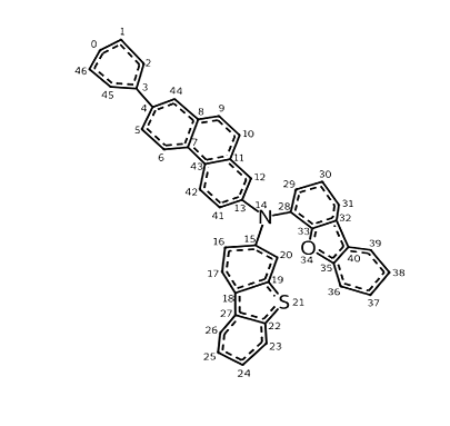 c1ccc(-c2ccc3c(ccc4cc(N(c5ccc6c(c5)sc5ccccc56)c5cccc6c5oc5ccccc56)ccc43)c2)cc1